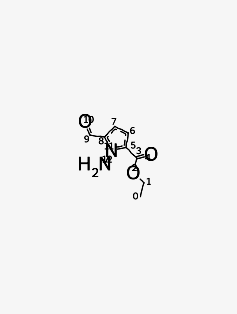 CCOC(=O)c1ccc(C=O)n1N